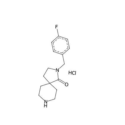 Cl.O=C1N(Cc2ccc(F)cc2)CCC12CCNCC2